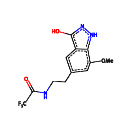 COc1cc(CCNC(=O)C(F)(F)F)cc2c(O)n[nH]c12